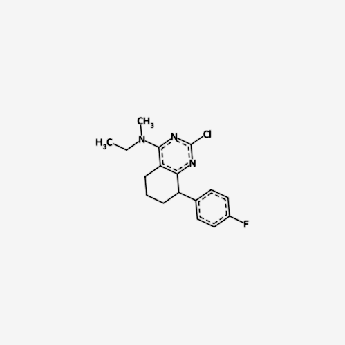 CCN(C)c1nc(Cl)nc2c1CCCC2c1ccc(F)cc1